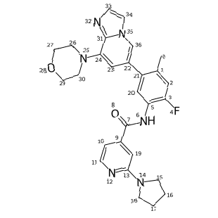 Cc1cc(F)c(NC(=O)c2ccnc(N3CCCC3)c2)cc1-c1cc(N2CCOCC2)c2nccn2c1